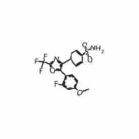 COc1ccc(-c2oc(C(F)(F)F)nc2C2C=CC(S(N)(=O)=O)=CC2)c(F)c1